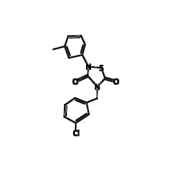 Cc1cccc(-n2sc(=O)n(Cc3cccc(Cl)c3)c2=O)c1